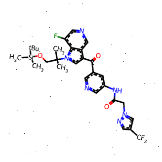 CC(C)(CO[Si](C)(C)C(C)(C)C)n1cc(C(=O)c2cncc(NC(=O)Cn3cc(C(F)(F)F)cn3)c2)c2cncc(F)c21